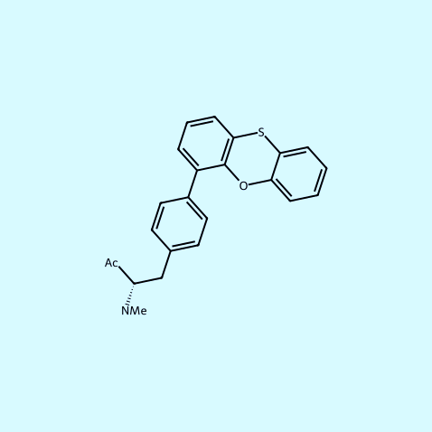 CN[C@@H](Cc1ccc(-c2cccc3c2Oc2ccccc2S3)cc1)C(C)=O